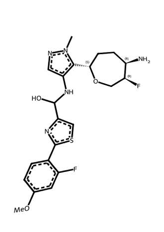 COc1ccc(-c2nc(C(O)Nc3cnn(C)c3[C@@H]3CC[C@@H](N)[C@@H](F)CO3)cs2)c(F)c1